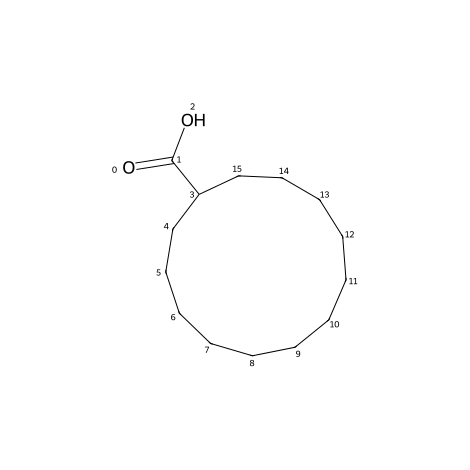 O=C(O)C1CCCCCCCCCCCC1